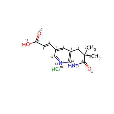 CC1(C)Cc2cc(/C=C/C(=O)O)cnc2NC1=O.Cl